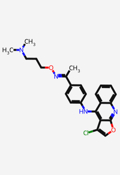 C/C(=N\OCCCN(C)C)c1ccc(Nc2c3ccccc3nc3occ(Cl)c23)cc1